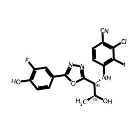 C[C@H](O)[C@@H](Nc1ccc(C#N)c(Cl)c1I)c1nnc(-c2ccc(O)c(F)c2)o1